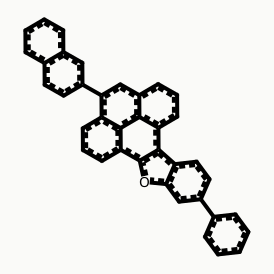 c1ccc(-c2ccc3c(c2)oc2c4cccc5c(-c6ccc7ccccc7c6)cc6cccc(c32)c6c54)cc1